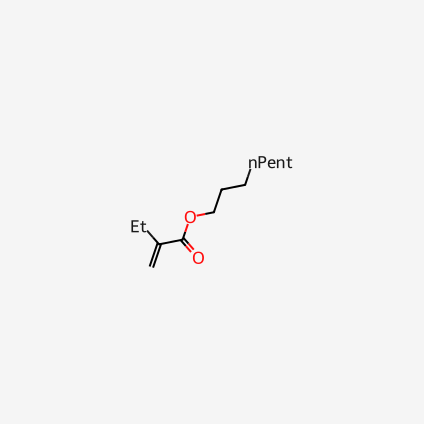 C=C(CC)C(=O)OCCCCCCCC